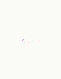 COC(=O)C(C)Nc1ccccc1C(=O)[C@H](CC(=O)O)NCCCc1ccc(OCCO)cc1